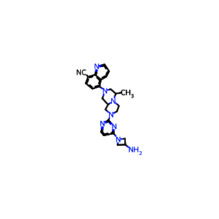 CC1CN(c2ccc(C#N)c3ncccc23)CC2CN(c3nccc(N4CC(N)C4)n3)CCN12